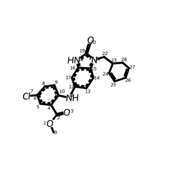 COC(=O)c1cc(Cl)ccc1Nc1ccc2c(c1)[nH]c(=O)n2CC1C=CC=CC1